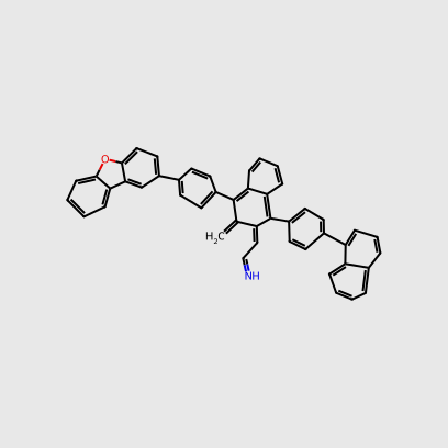 C=c1c(-c2ccc(-c3ccc4oc5ccccc5c4c3)cc2)c2ccccc2c(-c2ccc(-c3cccc4ccccc34)cc2)/c1=C/C=N